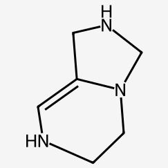 C1=C2CNCN2CCN1